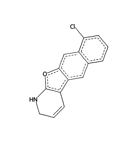 Clc1cccc2cc3c4c(oc3cc12)NCC=C4